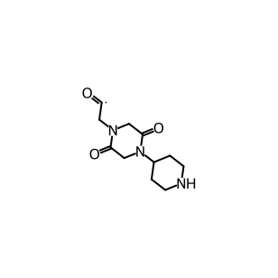 O=[C]CN1CC(=O)N(C2CCNCC2)CC1=O